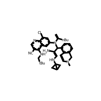 C=C(CCCC)N(c1cc(Cl)c2ncc(C#N)c(NCC(C)(C)C)c2c1)C(/C(N)=C/NC12CC1C2)c1cccc2c1C=CN(C)C2